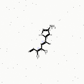 C=C/C(Cl)=C(Cl)\C=C(/C)c1cc(N)cs1